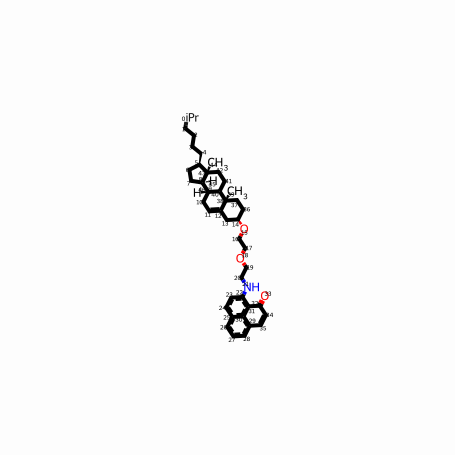 CC(C)CCCC[C@@H]1CC[C@@H]2[C@H]3CC=C4C[C@H](OCCOCCNc5ccc6cccc7c6c5C(=O)C=C7)CC[C@@]4(C)C3CC[C@@]12C